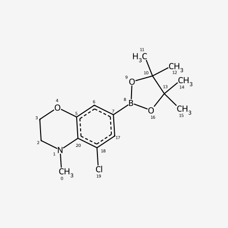 CN1CCOc2cc(B3OC(C)(C)C(C)(C)O3)cc(Cl)c21